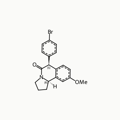 COc1ccc2c(c1)[C@H]1CCCN1C(=O)[C@H]2c1ccc(Br)cc1